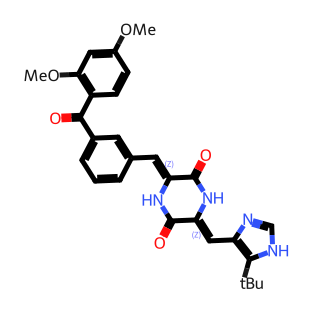 COc1ccc(C(=O)c2cccc(/C=c3\[nH]c(=O)/c(=C/c4nc[nH]c4C(C)(C)C)[nH]c3=O)c2)c(OC)c1